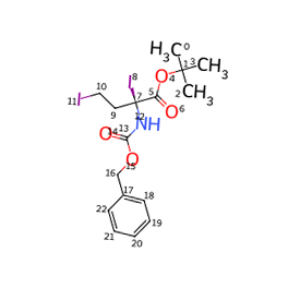 CC(C)(C)OC(=O)[C@@](I)(CCI)NC(=O)OCc1ccccc1